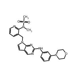 CN(c1ncccc1Cn1ccc2cnc(Nc3cccc(N4CCOCC4)c3)nc21)S(C)(=O)=O